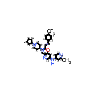 Cc1cc(Nc2ccc(CN(C(=O)/C=C/c3ccc(C(F)(F)F)cc3)C3CCN(C4CCCC4)CC3)nc2)ccn1